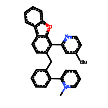 C[n+]1ccccc1-c1ccccc1Cc1ccc2c(oc3ccccc32)c1-c1cc(C(C)(C)C)ccn1